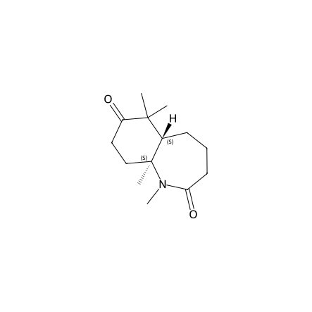 CN1C(=O)CCC[C@H]2C(C)(C)C(=O)CC[C@@]21C